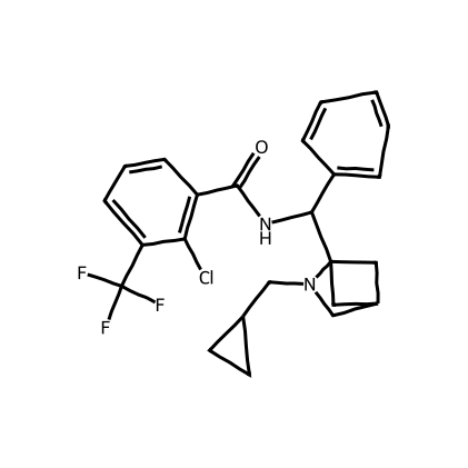 O=C(NC(c1ccccc1)C12CC(CN1CC1CC1)C2)c1cccc(C(F)(F)F)c1Cl